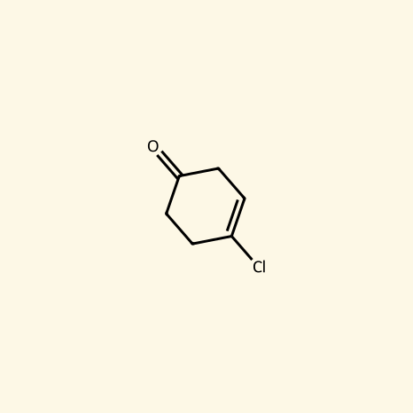 O=C1CC=C(Cl)CC1